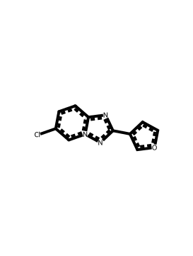 Clc1ccc2nc(-c3ccoc3)nn2c1